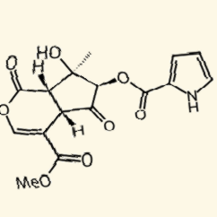 COC(=O)C1=COC(=O)[C@H]2[C@@H]1C(=O)[C@H](OC(=O)c1ccc[nH]1)[C@]2(C)O